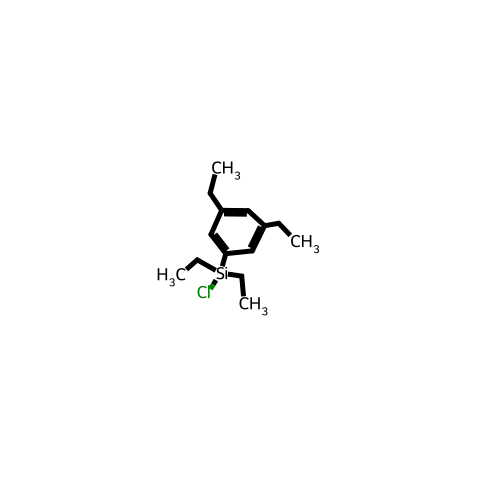 CCc1cc(CC)cc([Si](Cl)(CC)CC)c1